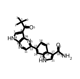 CC(C)(C)C(=O)c1c[nH]c2ncc(-c3c[c]c4c(C(N)=O)c[nH]c4c3)nc12